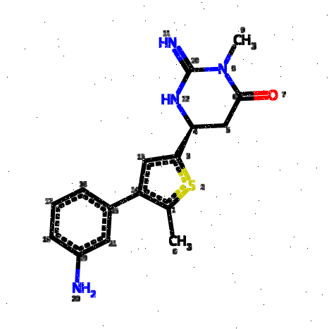 Cc1sc([C@@H]2CC(=O)N(C)C(=N)N2)cc1-c1cccc(N)c1